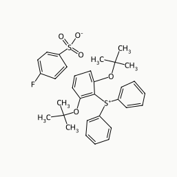 CC(C)(C)Oc1cccc(OC(C)(C)C)c1[S+](c1ccccc1)c1ccccc1.O=S(=O)([O-])c1ccc(F)cc1